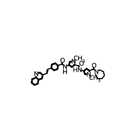 Cn1cc(NC(=O)c2ccc(/C=C/c3cnc4ccccc4c3)cc2)cc1C(=O)Nc1cc(C(=O)N2CCCCCC2)n(C)c1